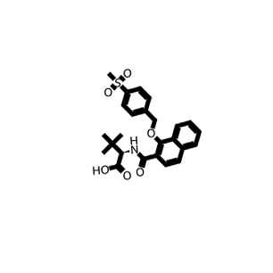 CC(C)(C)[C@H](NC(=O)c1ccc2ccccc2c1OCc1ccc(S(C)(=O)=O)cc1)C(=O)O